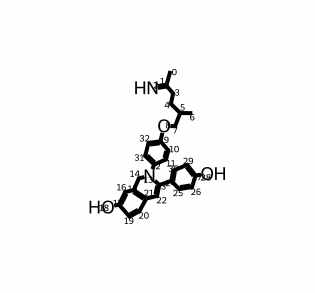 CC(=N)CCC(C)COc1ccc(N2Cc3cc(O)ccc3C=C2c2ccc(O)cc2)cc1